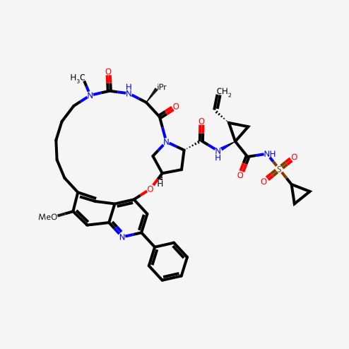 C=C[C@@H]1C[C@]1(NC(=O)[C@@H]1C[C@@H]2CN1C(=O)[C@H](C(C)C)NC(=O)N(C)CCCCCc1cc3c(cc(-c4ccccc4)nc3cc1OC)O2)C(=O)NS(=O)(=O)C1CC1